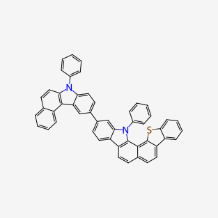 c1ccc(-n2c3ccc(-c4ccc5c6ccc7ccc8c9ccccc9sc8c7c6n(-c6ccccc6)c5c4)cc3c3c4ccccc4ccc32)cc1